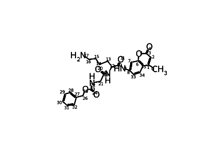 Cc1cc(=O)oc2cc(NC(=O)[C@H](CCCCN)NC(=O)CNC(=O)OCc3ccccc3)ccc12